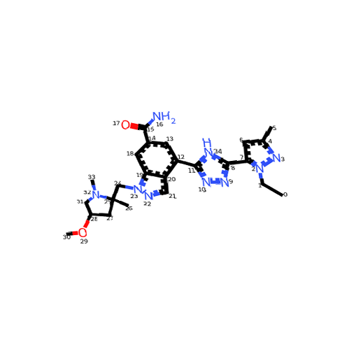 CCn1nc(C)cc1-c1nnc(-c2cc(C(N)=O)cc3c2cnn3CC2(C)CC(OC)CN2C)[nH]1